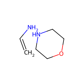 C1COCCN1.C=CN